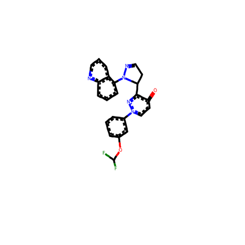 O=c1ccn(-c2cccc(OC(F)F)c2)nc1C1CC=NN1c1cccc2ncccc12